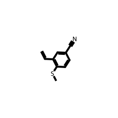 C=Cc1cc(C#N)ccc1SC